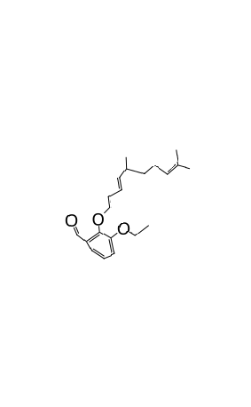 CCOc1cccc(C=O)c1OCCC=CC(C)CCC=C(C)C